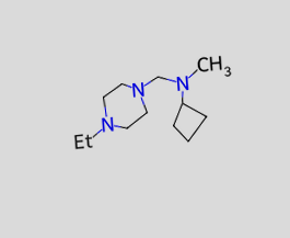 CCN1CCN(CN(C)C2CCC2)CC1